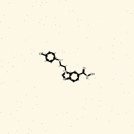 O=C(NO)c1ccc2ncn(CCOc3ccc(Cl)cc3)c2c1